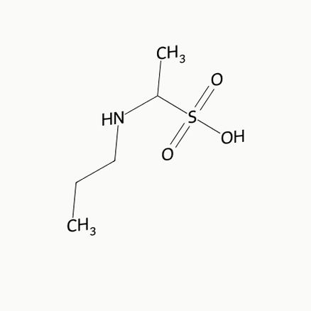 CCCNC(C)S(=O)(=O)O